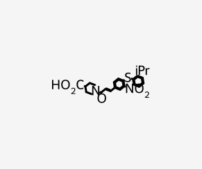 CC(C)c1ccccc1Sc1ccc(C=CC(=O)N2CCC(C(=O)O)CC2)cc1[N+](=O)[O-]